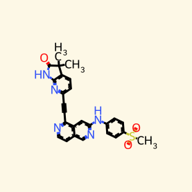 CC1(C)C(=O)Nc2nc(C#Cc3nccc4cnc(Nc5ccc(S(C)(=O)=O)cc5)cc34)ccc21